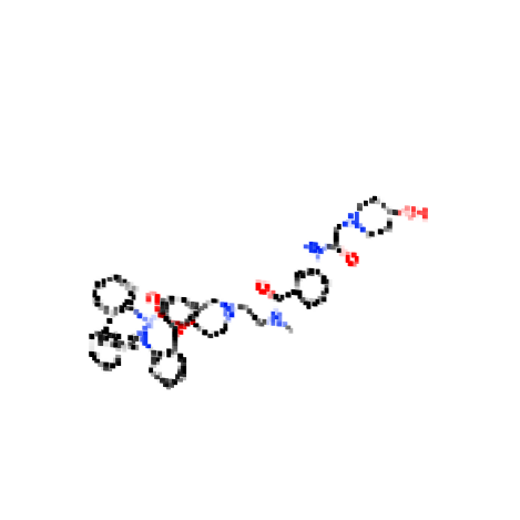 CN(CCN1CCC(OC(=O)N(c2ccccc2-c2ccccc2)N(C(=O)O)c2ccccc2-c2ccccc2)CC1)C(=O)c1cccc(NC(=O)CN2CCC(O)CC2)c1